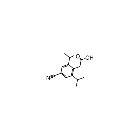 CC(C)c1cc(C#N)cc(C(C)C)c1CC(=O)O